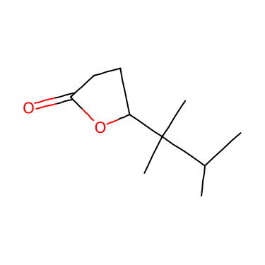 CC(C)C(C)(C)C1CCC(=O)O1